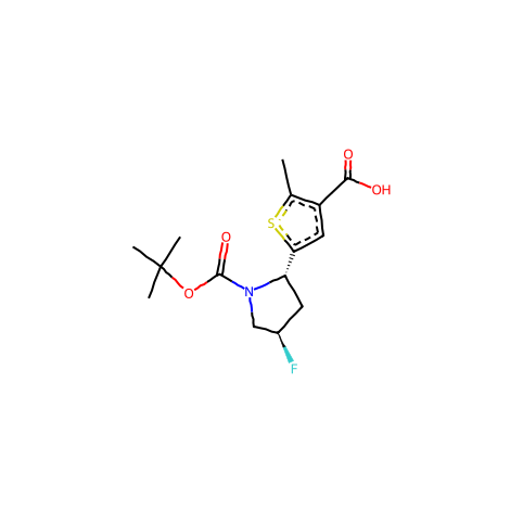 Cc1sc([C@@H]2C[C@@H](F)CN2C(=O)OC(C)(C)C)cc1C(=O)O